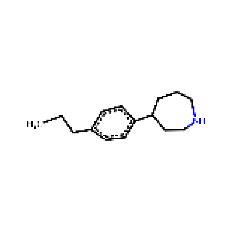 CCCc1ccc(C2CCCNCC2)cc1